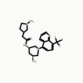 C[C@H]1C[C@@H](NC(=O)CC2CCN(C)C2)CN(c2ccc(C(F)(F)F)c3ncccc23)C1